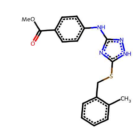 COC(=O)c1ccc(Nc2n[nH]c(SCc3ccccc3C)n2)cc1